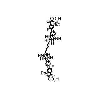 CCn1cc(C(=O)O)c(=O)c2cc(F)c(N3CCN(C(=N)NC(=N)NCCCCCCNC(=N)NC(=N)N4CCN(c5cc6c(cc5F)c(=O)c(C(=O)O)cn6CC)CC4)CC3)cc21